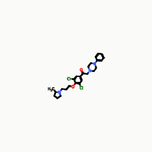 CC1CCCN1CCCOc1c(Cl)cc(C(=O)CN2CCN(c3ccccc3)CC2)cc1Cl